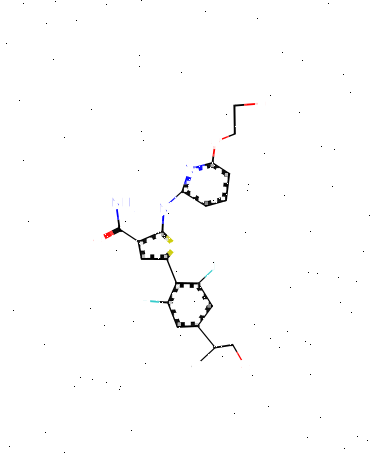 CC(CO)c1cc(F)c(-c2cc(C(N)=O)c(Nc3cccc(OCCO)n3)s2)c(F)c1